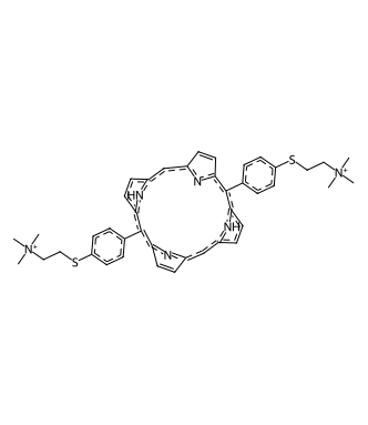 C[N+](C)(C)CCSc1ccc(-c2c3nc(cc4ccc([nH]4)c(-c4ccc(SCC[N+](C)(C)C)cc4)c4nc(cc5ccc2[nH]5)C=C4)C=C3)cc1